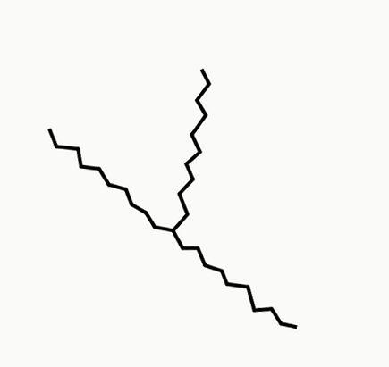 CCCCCCCCCC[C](CCCCCCCCCC)CCCCCCCCCC